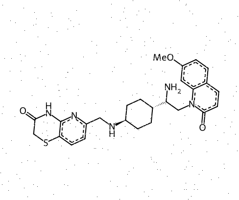 COc1ccc2ccc(=O)n(CC(N)[C@H]3CC[C@H](NCc4ccc5c(n4)NC(=O)CS5)CC3)c2c1